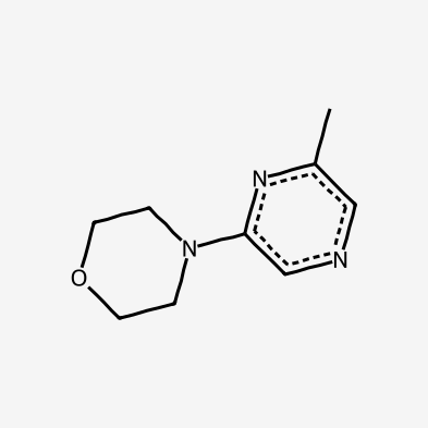 Cc1cncc(N2CCOCC2)n1